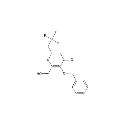 Cn1c(CC(F)(F)F)cc(=O)c(OCc2ccccc2)c1CO